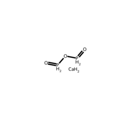 O=[PH2]O[PH2]=O.[CaH2]